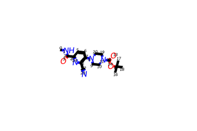 CNC(=O)c1ccc(N2CCN(C(=O)OC(C)(C)C)CC2)c(C#N)n1